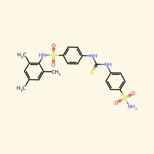 Cc1cc(C)c(NS(=O)(=O)c2ccc(NC(=S)Nc3ccc(S(N)(=O)=O)cc3)cc2)c(C)c1